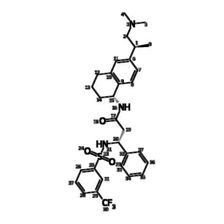 C[C@H](CN(C)C)c1ccc2c(c1)CCC[C@H]2NC(=O)C[C@@H](NS(=O)(=O)c1cccc(C(F)(F)F)c1)c1ccccc1